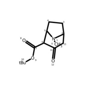 CN1C2CCC1C(C(=O)OC(C)(C)C)C(=O)C2